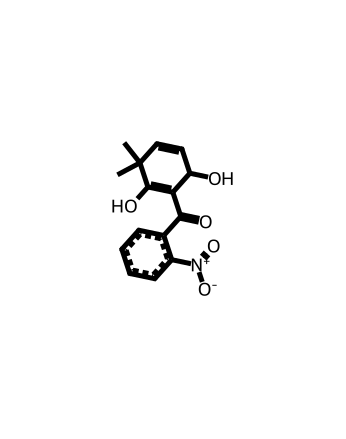 CC1(C)C=CC(O)C(C(=O)c2ccccc2[N+](=O)[O-])=C1O